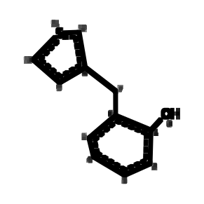 Oc1ccccc1Cc1ccsc1